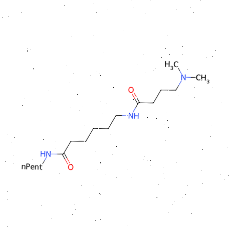 CCCCCNC(=O)CCCCCNC(=O)CCCN(C)C